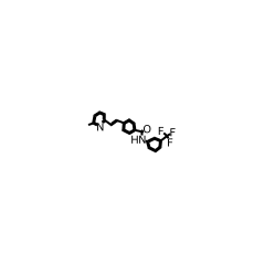 Cc1cccc(/C=C/c2ccc(C(=O)Nc3cccc(C(F)(F)F)c3)cc2)n1